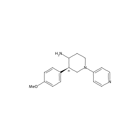 COc1ccc([C@@H]2CN(c3ccncc3)CCC2N)cc1